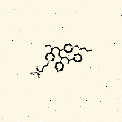 CCCCC[n+]1ccc(C(CC(CC)c2cc[n+](CCCS(=O)(=O)O)cc2)CC(CC(C)c2ccccc2)c2ccncc2)cc1